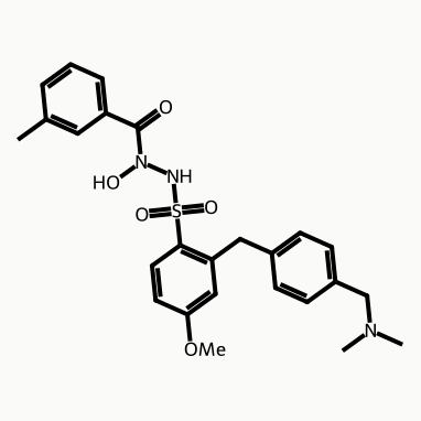 COc1ccc(S(=O)(=O)NN(O)C(=O)c2cccc(C)c2)c(Cc2ccc(CN(C)C)cc2)c1